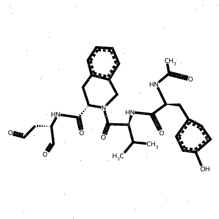 CC(=O)N[C@@H](Cc1ccc(O)cc1)C(=O)N[C@H](C(=O)N1Cc2ccccc2C[C@H]1C(=O)N[C@H](C=O)CC=O)C(C)C